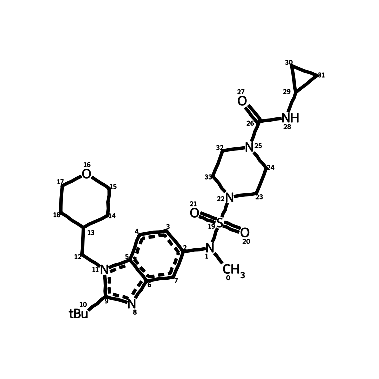 CN(c1ccc2c(c1)nc(C(C)(C)C)n2CC1CCOCC1)S(=O)(=O)N1CCN(C(=O)NC2CC2)CC1